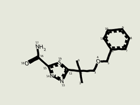 CC(C)(COCc1ccccc1)c1nnc(C(N)=O)s1